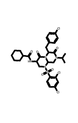 CC(C)N1CC2N(C(=O)C(NC(=O)C3CCCCC3)CN2S(=O)(=O)c2ccc(Cl)cc2Cl)C(Cc2ccc(Cl)cc2)C1=O